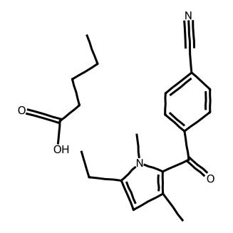 CCCCC(=O)O.CCc1cc(C)c(C(=O)c2ccc(C#N)cc2)n1C